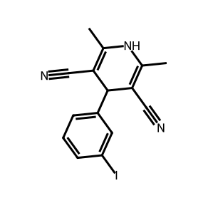 CC1=C(C#N)C(c2cccc(I)c2)C(C#N)=C(C)N1